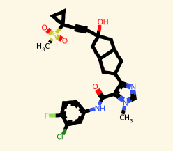 Cn1cnc(C2CC3CC(O)(C#CC4(S(C)(=O)=O)CC4)CC3C2)c1C(=O)Nc1ccc(F)c(Cl)c1